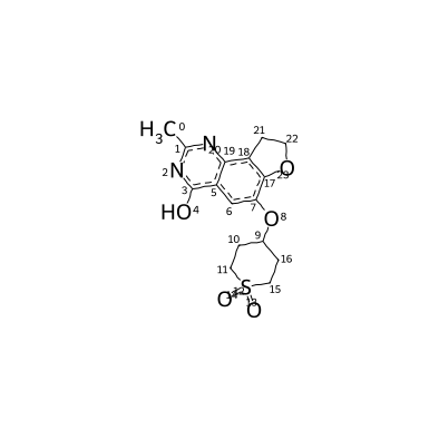 Cc1nc(O)c2cc(OC3CCS(=O)(=O)CC3)c3c(c2n1)CCO3